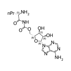 CCC[C@H](N)C(=O)NC(=O)OC[C@H]1O[C@@H](n2cnc3c(N)ncnc32)[C@H](O)[C@@H]1O